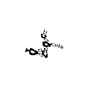 COc1cc(N2CC[C@@H](Oc3ccc(C4CC4)cc3)C2=O)ccc1O[C@H]1CCNC1